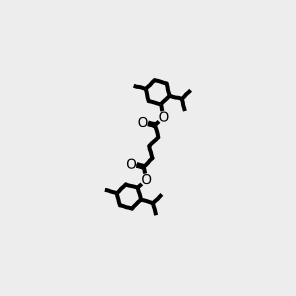 CC1CCC(C(C)C)C(OC(=O)CCCC(=O)OC2CC(C)CCC2C(C)C)C1